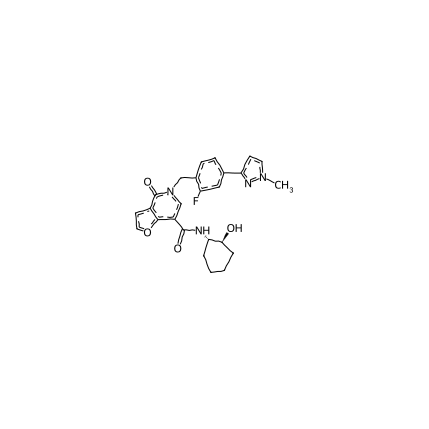 Cn1ccc(-c2ccc(Cn3cc(C(=O)N[C@H]4CCCC[C@@H]4O)c4occc4c3=O)c(F)c2)n1